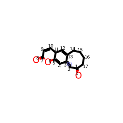 O=C1/C=C2/C=C3OC(=O)C=CC3C=C2CCCC1